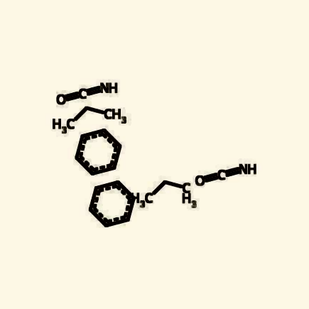 CCC.CCC.N=C=O.N=C=O.c1ccccc1.c1ccccc1